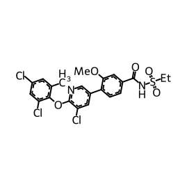 CCS(=O)(=O)NC(=O)c1ccc(-c2cnc(Oc3c(C)cc(Cl)cc3Cl)c(Cl)c2)c(OC)c1